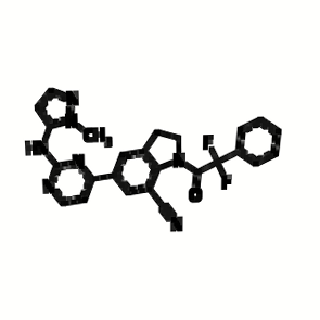 Cn1nccc1Nc1nccc(-c2cc(C#N)c3c(c2)CCN3C(=O)C(F)(F)c2ccccc2)n1